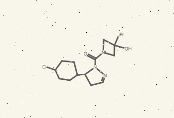 CC(C)C1(O)CN(C(=O)N2N=CC[C@H]2C2CCC(Cl)CC2)C1